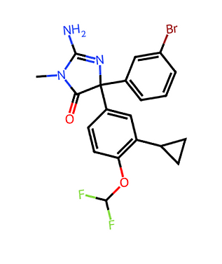 CN1C(=O)C(c2cccc(Br)c2)(c2ccc(OC(F)F)c(C3CC3)c2)N=C1N